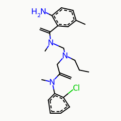 C=C(c1cc(C)ccc1N)N(C)CN(CCC)CC(=C)N(C)c1ccccc1Cl